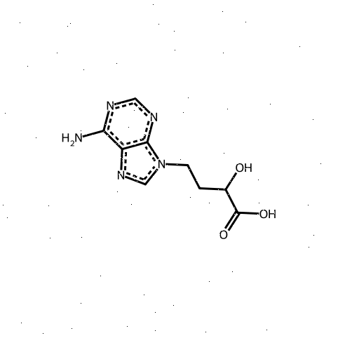 Nc1ncnc2c1ncn2CCC(O)C(=O)O